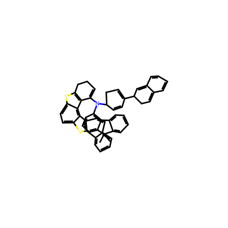 CC1(C)c2ccccc2-c2c(N(C3=CCCc4sc5ccc6sc7c8ccccc8ccc7c6c5c43)C3C=CC(C4C=c5ccccc5=CC4)=CC3)cccc21